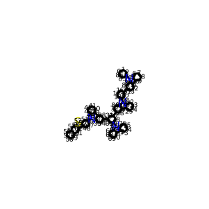 c1ccc(-n2c3ccccc3c3ccc(-c4cccc(-n5c6ccccc6c6cc(-c7cc(-c8ccc9c(c8)c8ccccc8n9-c8ccc9c(c8)sc8cc%10ccccc%10cc89)cc(-n8c9ccccc9c9ccccc98)c7)ccc65)c4)cc32)cc1